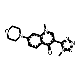 Cn1nnnc1-c1cn(C)c2cc(N3CCOCC3)ccc2c1=O